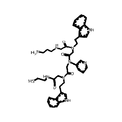 NCCCNCC(=O)N(CCc1c[nH]c2ccccc12)CC(=O)N(CC(=O)N(CCc1c[nH]c2ccccc12)CC(=O)NCCS)c1cccnc1